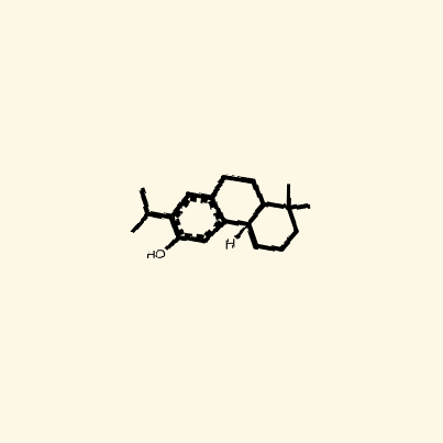 CC(C)c1cc2c(cc1O)[C@H]1CCCC(C)(C)C1CC2